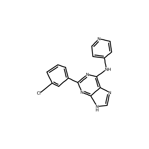 Clc1cccc(-c2nc(Nc3ccncc3)c3nc[nH]c3n2)c1